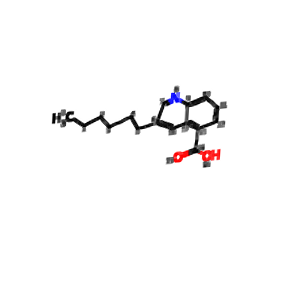 CCCCCCc1cnc2cccc(C(=O)O)c2c1